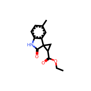 CCOC(=O)C1CC12C(=O)Nc1ccc(C)cc12